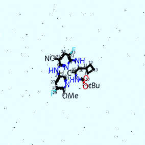 COc1ncc(Nc2nc(N[C@H](C3CCC3)[C@H](C)NC(=O)OC(C)(C)C)c(F)cc2C#N)cc1F